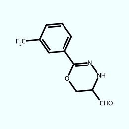 O=CC1COC(c2cccc(C(F)(F)F)c2)=NN1